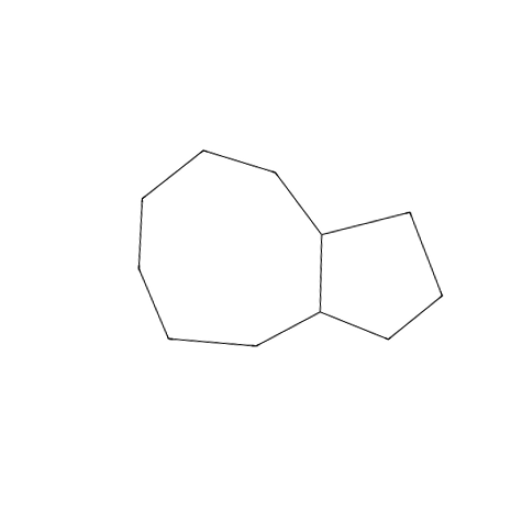 C1CCCC2CCCC2CC1